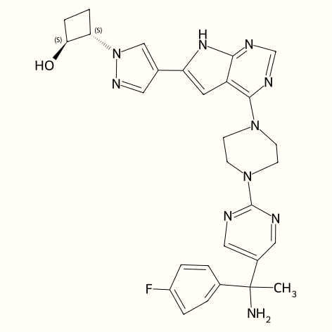 CC(N)(c1ccc(F)cc1)c1cnc(N2CCN(c3ncnc4[nH]c(-c5cnn([C@H]6CC[C@@H]6O)c5)cc34)CC2)nc1